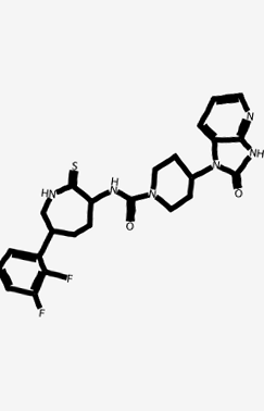 O=C(NC1CCC(c2cccc(F)c2F)CNC1=S)N1CCC(n2c(=O)[nH]c3ncccc32)CC1